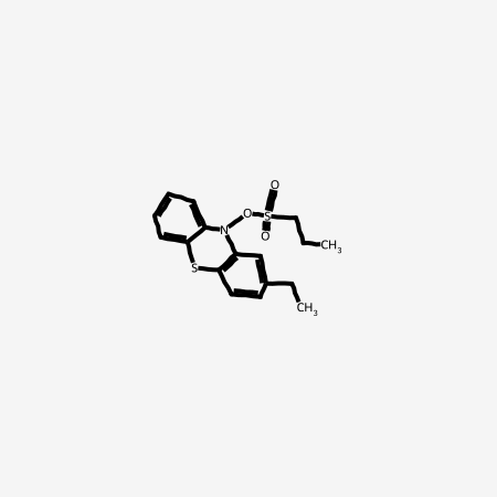 CCCS(=O)(=O)ON1c2ccccc2Sc2ccc(CC)cc21